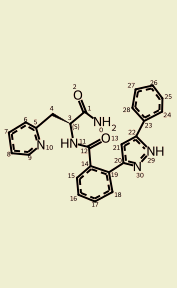 NC(=O)[C@H](Cc1ccccn1)NC(=O)c1ccccc1-c1cc(-c2ccccc2)[nH]n1